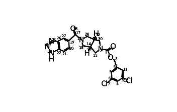 O=C(OCc1cc(Cl)cc(Cl)c1)N1C[C@@H]2CN(C(=O)c3ccc4[nH]nnc4c3)C[C@@H]2C1